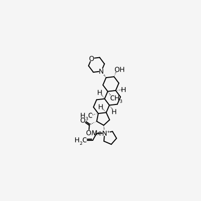 C=CC[N+]1([C@H]2C[C@@H]3[C@@H]4CC[C@@H]5C[C@@H](O)[C@@H](N6CCOCC6)C[C@]5(C)[C@@H]4CC[C@]3(C)[C@H]2C(=O)OC)CCCC1